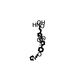 O=C(/C=C/c1ccn(S(=O)(=O)c2ccc(-c3ccc(OCCN4CCCC4)cc3)s2)c1)NO